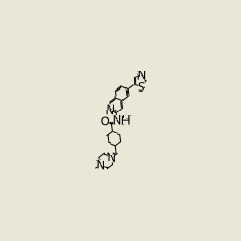 CN1CCN(CC2CCC(C(=O)Nc3cc4cc(-c5cncs5)ccc4cn3)CC2)CC1